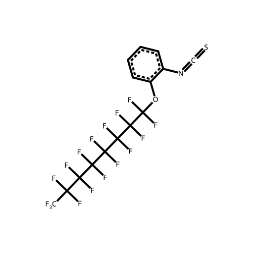 FC(F)(F)C(F)(F)C(F)(F)C(F)(F)C(F)(F)C(F)(F)C(F)(F)C(F)(F)Oc1ccccc1N=C=S